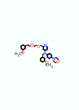 COc1cccc(CCOCCOCc2cc(N(Cc3cccc(OC)c3)c3ccc(N4CCOCC4)cc3)ccn2)c1